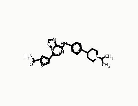 CC(C)N1CCC(c2ccc(Nc3ncc(-c4csc(C(N)=O)c4)n4ncnc34)cc2)CC1